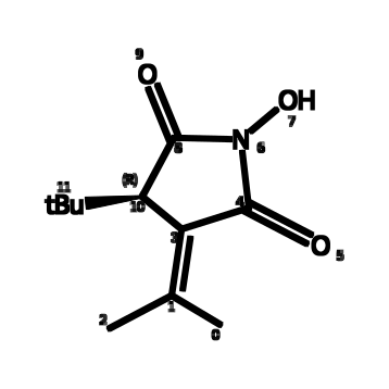 CC(C)=C1C(=O)N(O)C(=O)[C@@H]1C(C)(C)C